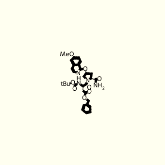 COc1ccc2c(O[C@@H]3C[C@@H](C(N)=O)N(C(=O)[C@H](CC(=O)OCc4ccccc4)NC(=O)OC(C)(C)C)C3)nccc2c1